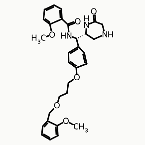 COc1ccccc1COCCCOc1ccc(C(NC(=O)c2ccccc2OC)[C@H]2CNCC(=O)N2)cc1